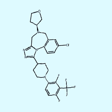 Fc1ccc(N2CCC(c3nnc4n3-c3ccc(Cl)cc3CN([C@H]3CCOC3)C4)CC2)c(F)c1C(F)(F)F